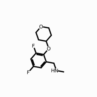 CNCc1cc(F)cc(F)c1OC1CCOCC1